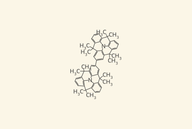 CC1(C)c2cccc3c2N2c4c1cccc4C(C)(C)c1cc(-c4cc5c6c(c4)C(C)(C)c4cccc7c4N6c4c(cccc4C5(C)C)C7(C)C)cc(c12)C3(C)C